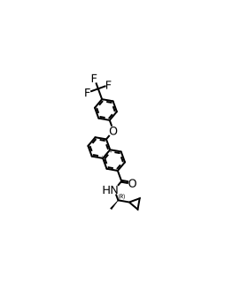 C[C@@H](NC(=O)c1ccc2c(Oc3ccc(C(F)(F)F)cc3)cccc2c1)C1CC1